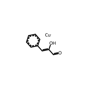 O=C/C(O)=C/c1ccccc1.[Cu]